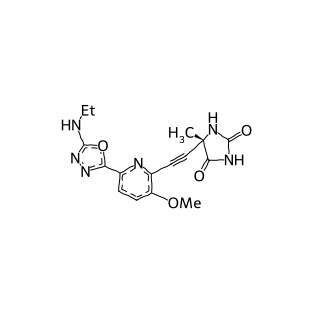 CCNc1nnc(-c2ccc(OC)c(C#C[C@]3(C)NC(=O)NC3=O)n2)o1